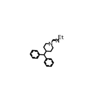 CCN=CN1CCC(C(c2ccccc2)c2ccccc2)CC1